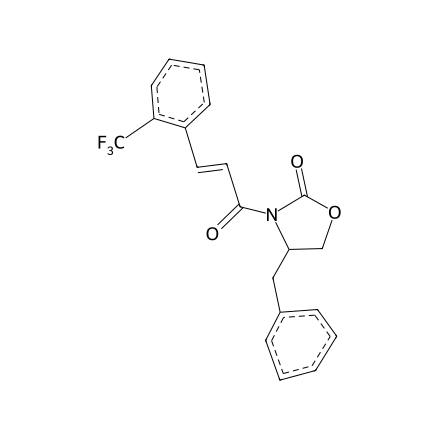 O=C(/C=C/c1ccccc1C(F)(F)F)N1C(=O)OCC1Cc1ccccc1